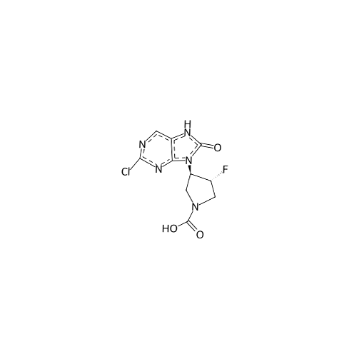 O=C(O)N1C[C@@H](F)[C@H](n2c(=O)[nH]c3cnc(Cl)nc32)C1